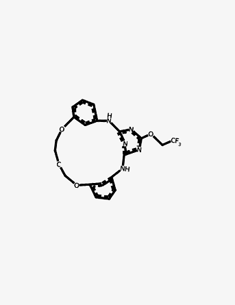 FC(F)(F)COc1nc2nc(n1)Nc1cccc(c1)OCCCCOc1cccc(c1)N2